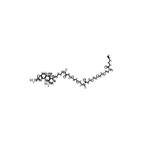 C#CCCCC(=O)N(C)CCOCCOCCOCCC(=O)N(C)CCOCCOCCC(=O)N(C)CCCCNc1ncnc(N)c1C(=N)c1ccc2oc(N)nc2c1